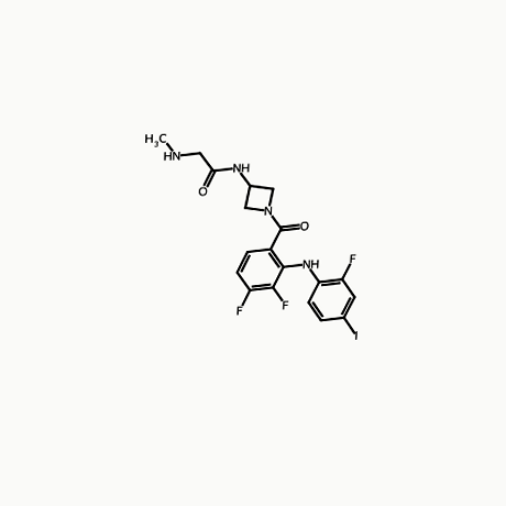 CNCC(=O)NC1CN(C(=O)c2ccc(F)c(F)c2Nc2ccc(I)cc2F)C1